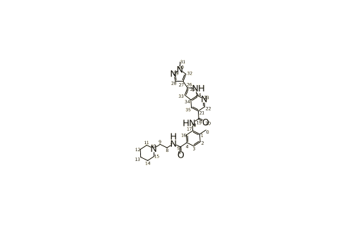 Cc1ccc(C(=O)NCCN2CCCCC2)cc1NC(=O)c1cnc2[nH]c(-c3cnn(C)c3)cc2c1